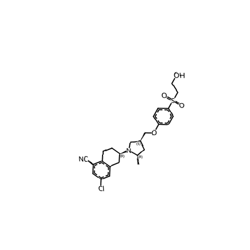 C[C@@H]1C[C@H](COc2ccc(S(=O)(=O)CCO)cc2)CN1[C@@H]1CCc2c(C#N)cc(Cl)cc2C1